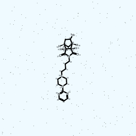 [2H]C1C[C@@H]2C[C@H]1[C@@H]1C(=O)N(CCCCN3CCN(c4ncccn4)CC3)C(=O)[C@H]21